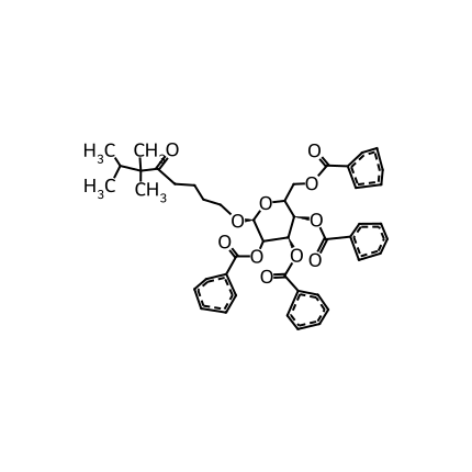 CC(C)C(C)(C)C(=O)CCCCO[C@H]1OC(COC(=O)c2ccccc2)[C@@H](OC(=O)c2ccccc2)[C@@H](OC(=O)c2ccccc2)C1OC(=O)c1ccccc1